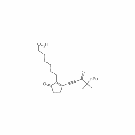 CCCCC(C)(C)C(=O)C#CC1=C(CCCCCCC(=O)O)C(=O)CC1